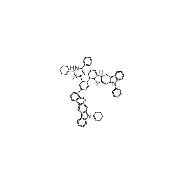 CN1C(C2C=C(c3cccc4c3sc3cc5c(cc34)c3ccccc3n5C3=CCCC=C3)C=CC2C2C=CC=C3C2SC2=Cc4c(c5ccccc5n4-c4ccccc4)C[C@@H]23)=NC(c2ccccc2)N[C@H]1C1=CCCCC1